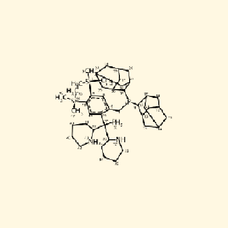 C[Si](C)(C)c1cc(CP(C2C3CC4CC(C3)CC2C4)C2C3CC4CC(C3)CC2C4)c(C(P)(C2CCCCN2)C2CCCCN2)cc1[Si](C)(C)C